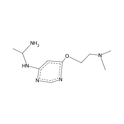 CC(N)Nc1cc(OCCN(C)C)ncn1